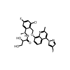 Cc1cc(-n2cc(F)cn2)c2cccc(OCc3c(Cl)cc(F)cc3[C@H](C)NC(=O)C(O)CO)c2n1